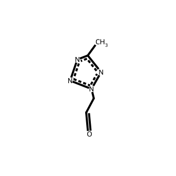 Cc1nnn(CC=O)n1